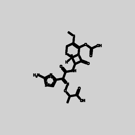 CSC1=C(OC(=O)O)N2C(=O)C(NC(=O)C(=NOC(C)C(=O)O)c3csc(N)n3)[C@@H]2SC1